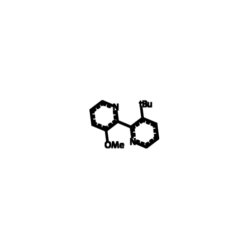 COc1cccnc1-c1ncccc1C(C)(C)C